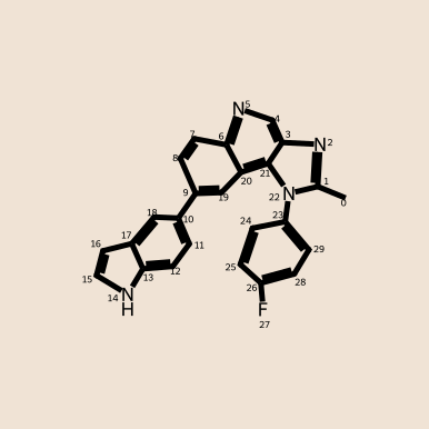 Cc1nc2cnc3ccc(-c4ccc5[nH]ccc5c4)cc3c2n1-c1ccc(F)cc1